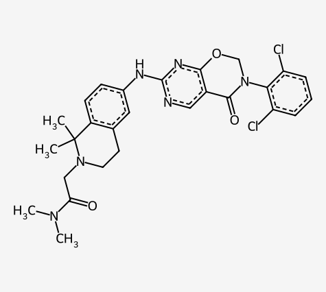 CN(C)C(=O)CN1CCc2cc(Nc3ncc4c(n3)OCN(c3c(Cl)cccc3Cl)C4=O)ccc2C1(C)C